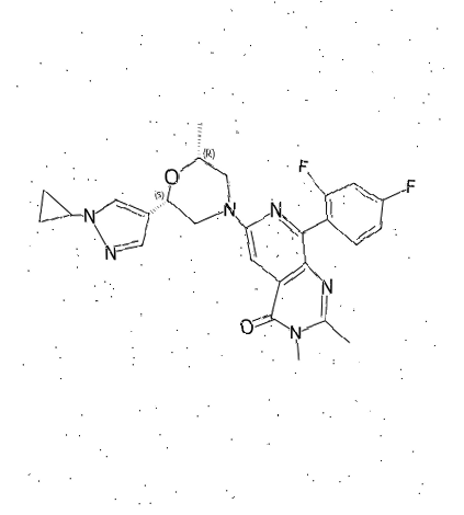 Cc1nc2c(-c3ccc(F)cc3F)nc(N3C[C@@H](C)O[C@@H](c4cnn(C5CC5)c4)C3)cc2c(=O)n1C